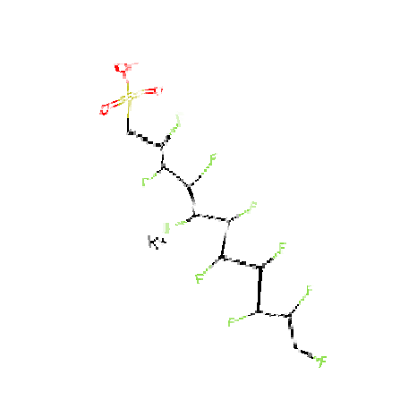 O=S(=O)([O-])CC(F)C(F)C(F)C(F)C(F)C(F)C(F)C(F)C(F)CF.[K+]